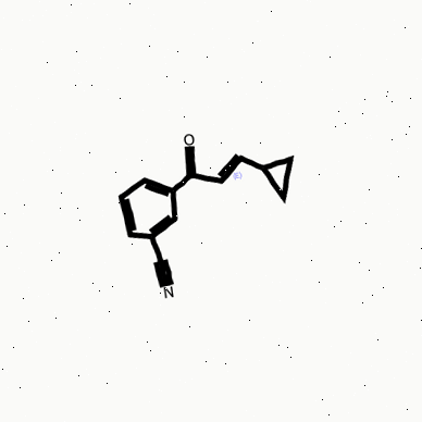 N#Cc1cccc(C(=O)/C=C/C2CC2)c1